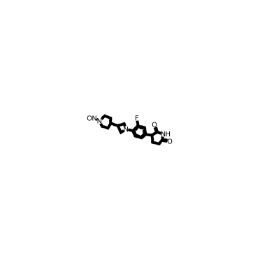 O=NN1CCC(C2CN(c3ccc(C4CCC(=O)NC4=O)cc3F)C2)CC1